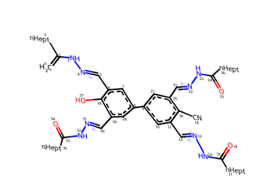 C=C(CCCCCCC)N/N=C/c1cc(-c2cc(/C=N/NC(=O)CCCCCCC)c(C#N)c(/C=N/NC(=O)CCCCCCC)c2)cc(/C=N/NC(=O)CCCCCCC)c1O